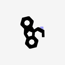 C/C=C\C12CC(c3ccccc31)c1ccccc12